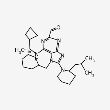 CC(C)CC1CCCCN1c1nc2nc(C=O)nc(N[C@H](C)C3CCC3)c2n1CC1CCCCC1